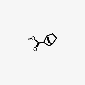 COC(=O)C1CC2C=C1CC2